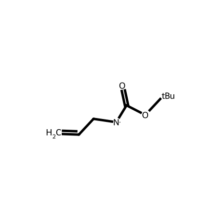 C=CC[N]C(=O)OC(C)(C)C